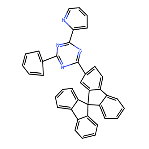 c1ccc(-c2nc(-c3ccc4c(c3)C3(c5ccccc5-c5ccccc53)c3ccccc3-4)nc(-c3ccccn3)n2)cc1